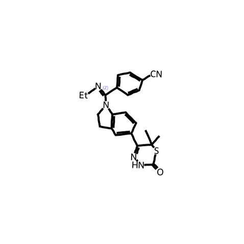 CC/N=C(/c1ccc(C#N)cc1)N1CCc2cc(C3=NNC(=O)SC3(C)C)ccc21